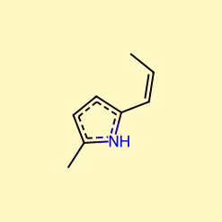 C/C=C\c1ccc(C)[nH]1